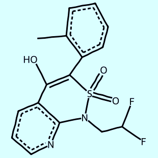 Cc1ccccc1C1=C(O)c2cccnc2N(CC(F)F)S1(=O)=O